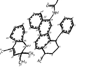 CC(=O)C1CCC(c2ccccc2)c2c1ccc1c2cc(NC(=O)C(F)(F)F)c2ccccc21.CC1=CC(C)(C)Nc2ccccc21